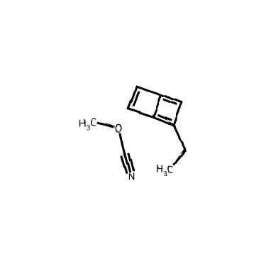 CCc1cc2ccc1-2.COC#N